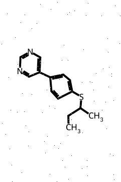 CCC(C)Sc1ccc(-c2cncnc2)cc1